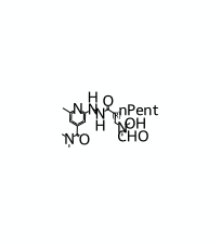 CCCCC[C@H](CN(O)C=O)C(=O)NNc1cc(C(=O)N(C)C)cc(C)n1